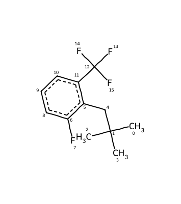 CC(C)(C)Cc1c(F)cccc1C(F)(F)F